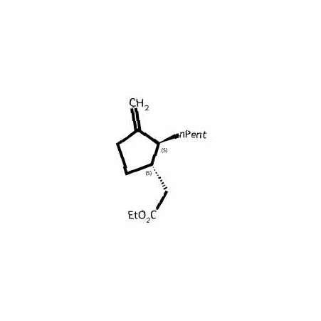 C=C1CC[C@@H](CC(=O)OCC)[C@@H]1CCCCC